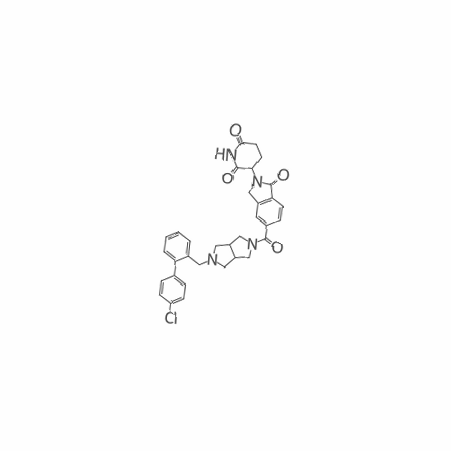 O=C1CCC(N2Cc3cc(C(=O)N4CC5CN(Cc6ccccc6-c6ccc(Cl)cc6)CC5C4)ccc3C2=O)C(=O)N1